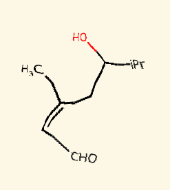 CC(=CC=O)CC(O)C(C)C